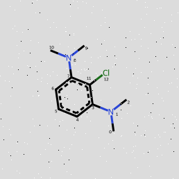 CN(C)c1cccc(N(C)C)c1Cl